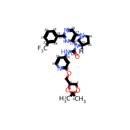 CC1(C)OCC(COc2cc(NC(=O)N3c4nc(-c5cccc(C(F)(F)F)c5)ncc4N4CC[C@H]3C4)ccn2)O1